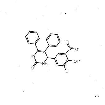 O=C1NC(c2ccccc2)=C(c2ccccc2)C(c2cc(F)c(O)c([N+](=O)[O-])c2)N1